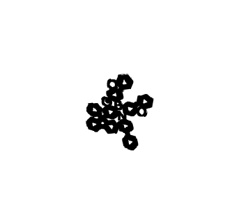 c1ccc(-c2ccc(N3c4cc5oc6ccccc6c5cc4B4c5cc6c(cc5Oc5cc(C7(c8ccccc8)c8ccccc8-c8ccccc87)cc3c54)oc3ccccc36)cc2)cc1